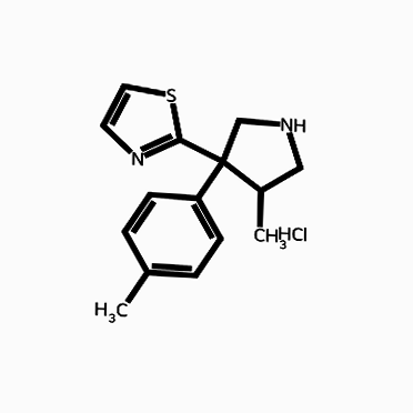 Cc1ccc(C2(c3nccs3)CNCC2C)cc1.Cl